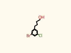 OCCCCc1cc(Cl)cc(Br)c1